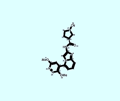 COc1cc(-c2cccc3nc(NC(=O)[C@H]4CCN(C#N)C4)cn23)c(OC)nn1